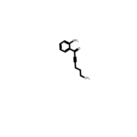 CCCCC#CC(=O)c1ccccc1N